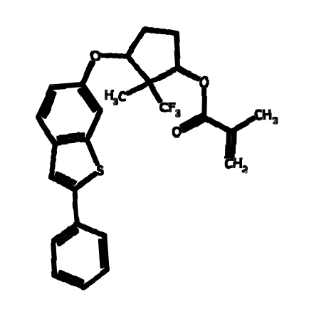 C=C(C)C(=O)OC1CCC(Oc2ccc3cc(-c4ccccc4)sc3c2)C1(C)C(F)(F)F